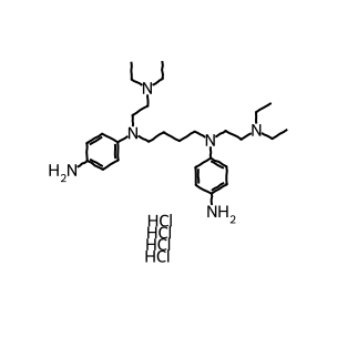 CCN(CC)CCN(CCCCN(CCN(CC)CC)c1ccc(N)cc1)c1ccc(N)cc1.Cl.Cl.Cl.Cl